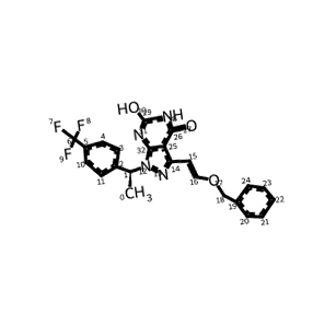 C[C@@H](c1ccc(C(F)(F)F)cc1)n1nc(/C=C/OCc2ccccc2)c2c(=O)[nH]c(O)nc21